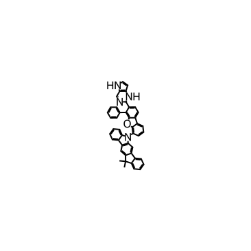 CC1(C)c2ccccc2-c2cc3c(cc21)c1ccccc1n3-c1cccc2c1oc1c(-c3ccccc3)c(C3N=Cc4[nH]ccc4N3)ccc12